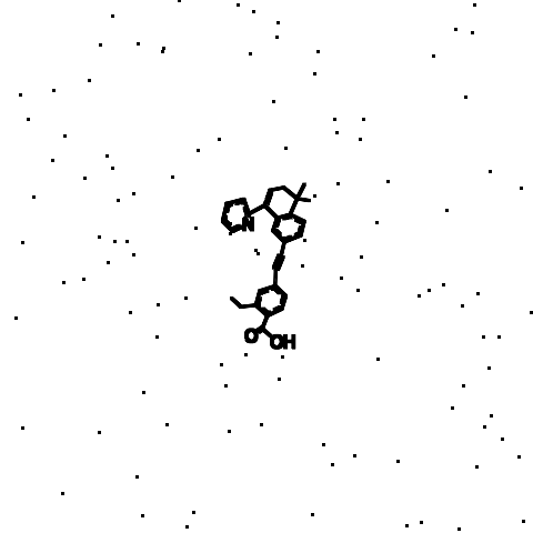 CCc1cc(C#Cc2ccc3c(c2)C(c2ccccn2)=CCC3(C)C)ccc1C(=O)O